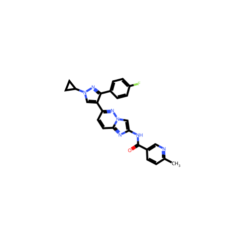 Cc1ccc(C(=O)Nc2cn3nc(-c4cn(C5CC5)nc4-c4ccc(F)cc4)ccc3n2)cn1